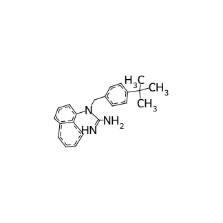 CC(C)(C)c1ccc(CN(C(=N)N)c2cccc3ccccc23)cc1